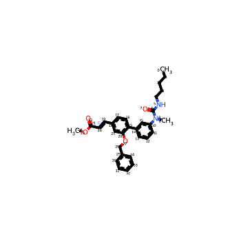 CCCCCNC(=O)N(C)c1cccc(-c2ccc(/C=C/C(=O)OC)cc2OCc2ccccc2)c1